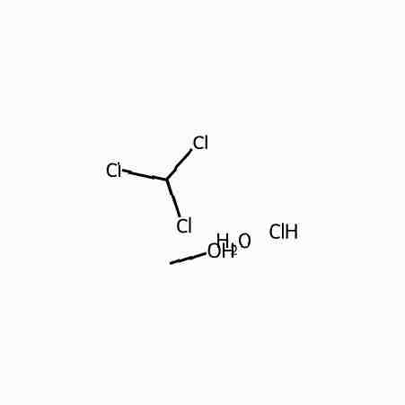 CO.Cl.ClC(Cl)Cl.O